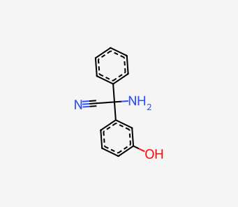 N#CC(N)(c1ccccc1)c1cccc(O)c1